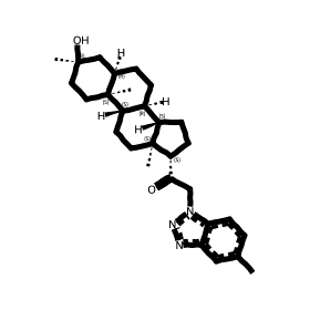 Cc1ccc2c(c1)nnn2CC(=O)[C@H]1CC[C@H]2[C@@H]3CC[C@@H]4C[C@](C)(O)CC[C@]4(C)[C@H]3CC[C@]12C